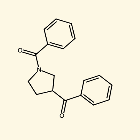 O=C(c1ccccc1)C1CCN(C(=O)c2ccccc2)C1